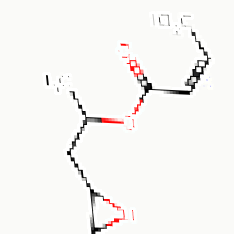 CC(CC1CO1)OC(=O)/C=C\C(=O)O